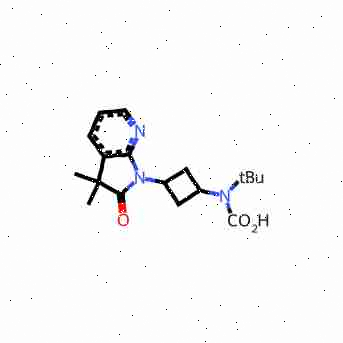 CC1(C)C(=O)N(C2CC(N(C(=O)O)C(C)(C)C)C2)c2ncccc21